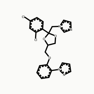 Clc1ccc(C2(Cn3ccnc3)OCC(COc3ccccc3-n3cccn3)O2)c(Cl)c1